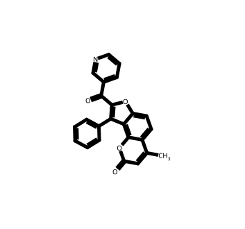 Cc1cc(=O)oc2c1ccc1oc(C(=O)c3cccnc3)c(-c3ccccc3)c12